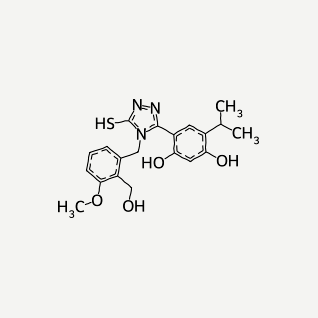 COc1cccc(Cn2c(S)nnc2-c2cc(C(C)C)c(O)cc2O)c1CO